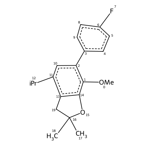 COc1c(-c2ccc(F)cc2)cc(C(C)C)c2c1OC(C)(C)C2